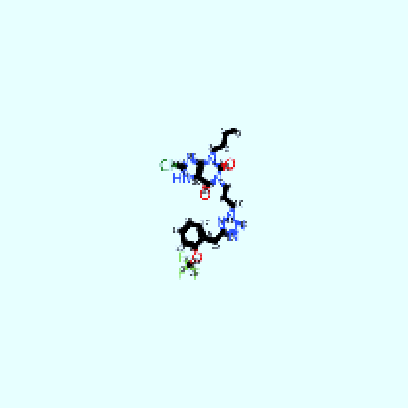 CCCCn1c(=O)n(CCCn2nnc(Cc3ccccc3OC(F)(F)F)n2)c(=O)c2[nH]c(Cl)nc21